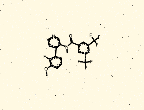 COc1cccc(-c2ccncc2N(C)C(=O)c2cc(C(F)(F)F)cc(C(F)(F)F)c2)c1F